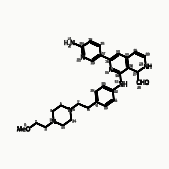 COCCN1CCN(CCc2ccc(Nc3nc(-c4ccc(N)nc4)cc4c3C(C=O)NC=C4)cc2)CC1